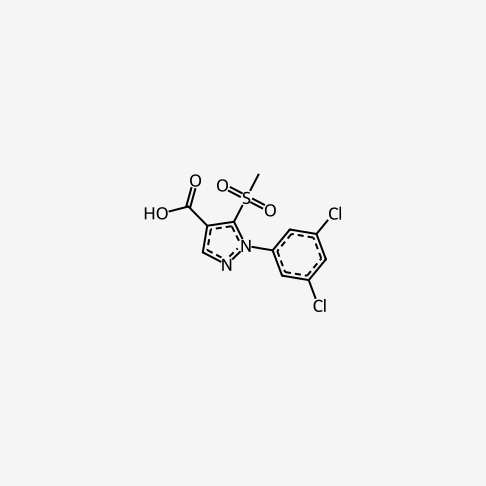 CS(=O)(=O)c1c(C(=O)O)cnn1-c1cc(Cl)cc(Cl)c1